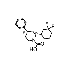 O=C(O)N1CC[C@@H](c2ccccc2)C[C@H]1C1CCCC(F)(F)C1